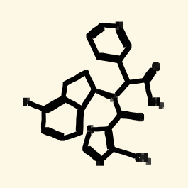 Cc1ncsc1C(=O)N(C(C(N)=O)c1cccnc1)[C@@H]1CCc2c(F)cccc21